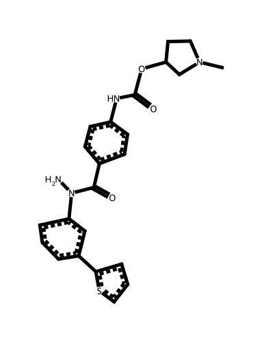 CN1CCC(OC(=O)Nc2ccc(C(=O)N(N)c3cccc(-c4cccs4)c3)cc2)C1